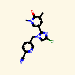 Cc1cc(-c2nc(Cl)cn2Cc2ccc(C#N)nc2)cn(C)c1=O